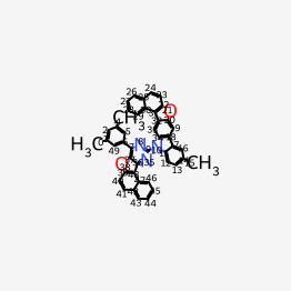 Cc1cc(C)cc(-c2nc(-n3c4ccc(C)cc4c4cc5oc6ccc7ccccc7c6c5cc43)nc3c2oc2ccc4ccccc4c23)c1